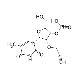 C#CCO[C@H]1C(O[PH](=O)O)[C@@H](CO)O[C@H]1n1cc(C)c(=O)[nH]c1=O